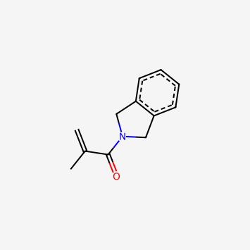 C=C(C)C(=O)N1Cc2ccccc2C1